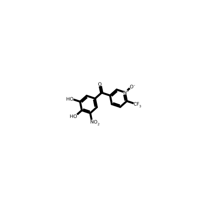 O=C(c1cc(O)c(O)c([N+](=O)[O-])c1)c1ccc(C(F)(F)F)[n+]([O-])c1